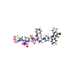 O=C(NS(=O)(=O)c1ccc(NCC2CCOCC2)c([N+](=O)[O-])c1)c1ccc(N2CCN(Cc3ccccc3C3=C[C@@H]4C[C@H]3C3CCCC34)CC2)cc1Oc1ccccc1